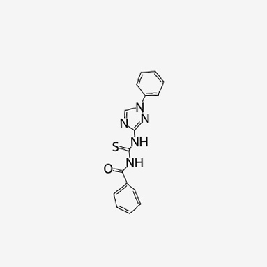 O=C(NC(=S)Nc1ncn(-c2ccccc2)n1)c1ccccc1